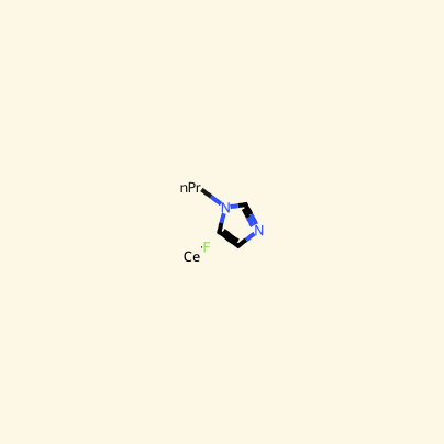 CCCn1ccnc1.[Ce].[F]